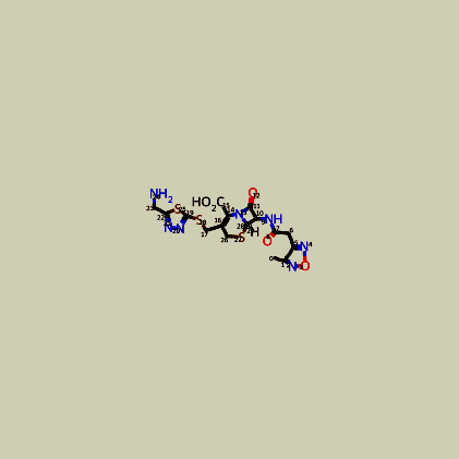 Cc1nonc1CC(=O)NC1C(=O)N2C(C(=O)O)=C(CSc3nnc(CN)s3)CS[C@@H]12